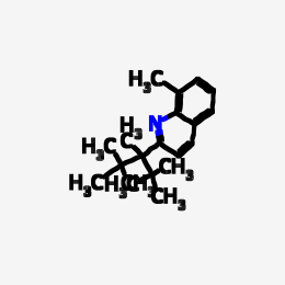 Cc1cccc2ccc(C(C)(C(C)(C)C)C(C)(C)C)nc12